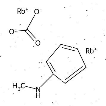 CNc1ccccc1.O=C([O-])[O-].[Rb+].[Rb+]